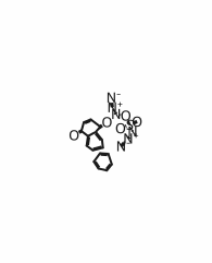 O=C1C=CC(=O)c2ccccc21.[N-]=[N+]=NOS(=O)(=O)N=[N+]=[N-].c1ccccc1